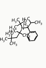 CC(C)C(c1ccccc1)N(C(C)(C)C)C(C)(C)CC(C)(C)C